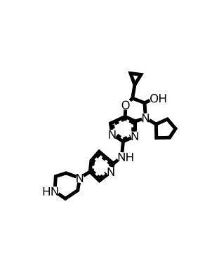 OC1C(C2CC2)Oc2cnc(Nc3ccc(N4CCNCC4)cn3)nc2N1C1CCCC1